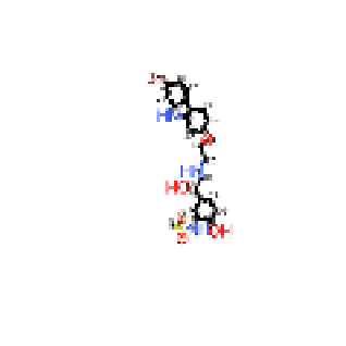 CS(=O)(=O)Nc1cc([C@H](O)CNCCOc2ccc3c(c2)[nH]c2cc(Br)ccc23)ccc1O